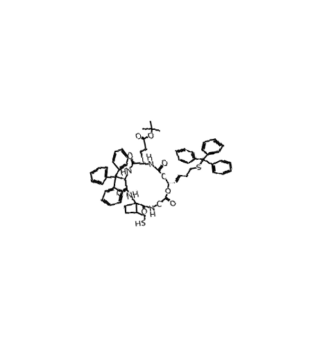 CC(C)(C)OC(=O)CC[C@H]1NC(=O)C[C@H](/C=C/CCSC(c2ccccc2)(c2ccccc2)c2ccccc2)OC(=O)CNC(=O)C2(CCC2CS)NC(=O)[C@@H](C(c2ccccc2)(c2ccccc2)c2ccccc2)NC1=O